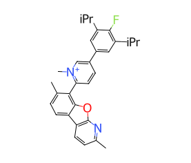 Cc1ccc2c(n1)oc1c(-c3ccc(-c4cc(C(C)C)c(F)c(C(C)C)c4)c[n+]3C)c(C)ccc12